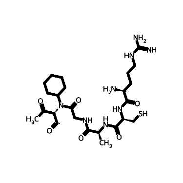 CC(=O)[C@@H]([C]=O)N(C(=O)CNC(=O)[C@H](C)NC(=O)[C@H](CS)NC(=O)[C@@H](N)CCCNC(=N)N)C1CCCCC1